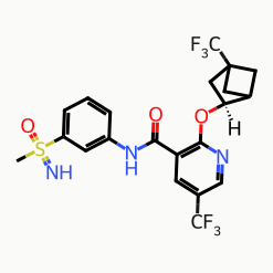 CS(=N)(=O)c1cccc(NC(=O)c2cc(C(F)(F)F)cnc2O[C@H]2CC3(C(F)(F)F)CC2C3)c1